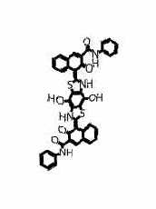 O=C(Nc1ccccc1)C1=Cc2ccccc2/C(=C2/Nc3c(O)c4c(c(O)c3S2)N/C(=C2\C(=O)C(C(=O)Nc3ccccc3)=Cc3ccccc32)S4)C1=O